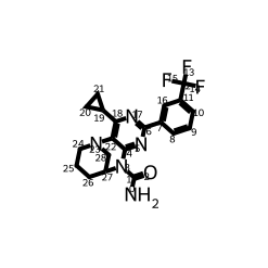 NC(=O)N1c2nc(-c3cccc(C(F)(F)F)c3)nc(C3CC3)c2N2CCCC1C2